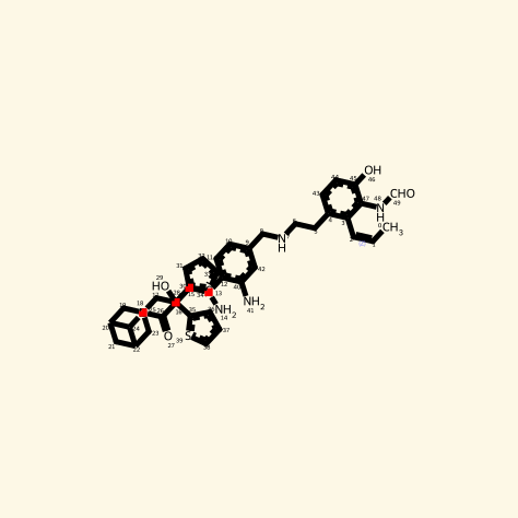 C/C=C\c1c(CCNCc2ccc(N(N)CCCN3CC4CC(C3)C4OC(=O)C(O)(c3cccs3)c3cccs3)c(N)c2)ccc(O)c1NC=O